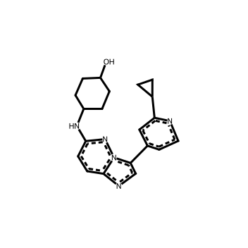 OC1CCC(Nc2ccc3ncc(-c4ccnc(C5CC5)c4)n3n2)CC1